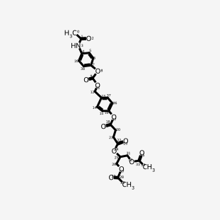 CC(=O)Nc1ccc(OC(=O)OCc2ccc(OC(=O)CCC(=O)OC(COC(C)=O)COC(C)=O)cc2)cc1